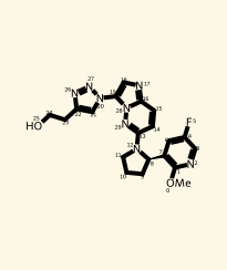 COc1ncc(F)cc1[C@H]1CCCN1c1ccc2ncc(-n3cc(CCO)nn3)n2n1